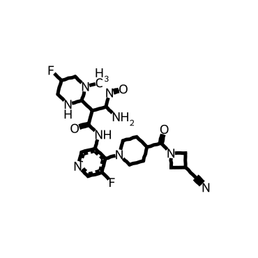 CN1CC(F)CNC1C(C(=O)Nc1cncc(F)c1N1CCC(C(=O)N2CC(C#N)C2)CC1)C(N)N=O